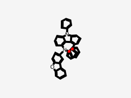 c1ccc(-c2cccc3c2c2c(N(c4ccccc4)c4ccc5oc6ccccc6c5c4)cccc2n3-c2ccccc2)cc1